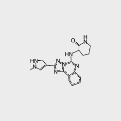 CN1C=C(c2nc3c4ccccc4nc(NC4CCCNC4=O)n3n2)CN1